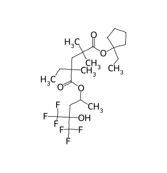 CCC1(OC(=O)C(C)(C)CC(C)(CC)C(=O)OC(C)CC(O)(C(F)(F)F)C(F)(F)F)CCCC1